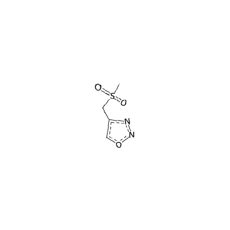 CS(=O)(=O)Cc1conn1